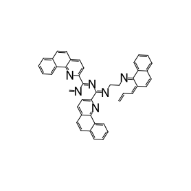 C=C/C=C1/C=Cc2ccccc2/C1=N/CC/N=C(\N=C(/N=C)c1ccc2ccc3ccccc3c2n1)c1ccc2ccc3ccccc3c2n1